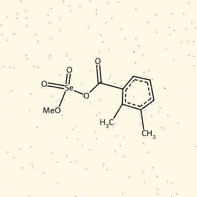 CO[Se](=O)(=O)OC(=O)c1cccc(C)c1C